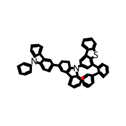 c1ccc(-c2ccccc2-c2cc(-n3c4c(c5ccccc53)C=C(c3ccc5c(c3)c3ccccc3n5-c3ccccc3)CC4)cc3c2sc2ccccc23)cc#1